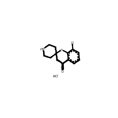 Cl.O=C1CC2(CCNCC2)Oc2c(Cl)cccc21